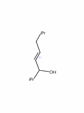 CC(C)C/C=C/C(O)C(C)C